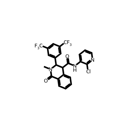 CN1C(=O)c2ccccc2C(C(=O)Nc2cccnc2Cl)C1c1cc(C(F)(F)F)cc(C(F)(F)F)c1